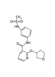 CS(=O)(=O)Nc1cccc(NC(=O)c2cccnc2OC2CCOC2)c1